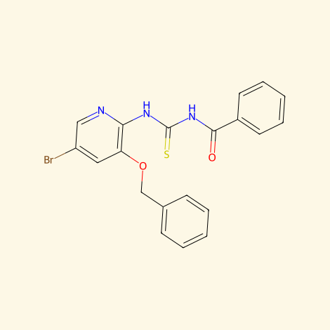 O=C(NC(=S)Nc1ncc(Br)cc1OCc1ccccc1)c1ccccc1